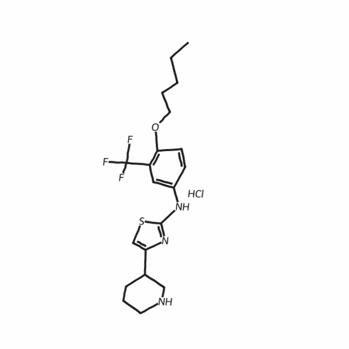 CCCCCOc1ccc(Nc2nc(C3CCCNC3)cs2)cc1C(F)(F)F.Cl